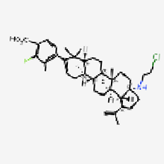 C=C(C)[C@@H]1CC[C@]2(NCCCl)CC[C@]3(C)[C@H](CC[C@@H]4[C@@]5(C)CC=C(c6ccc(C(=O)O)c(F)c6C)C(C)(C)[C@@H]5CC[C@]43C)[C@@H]12